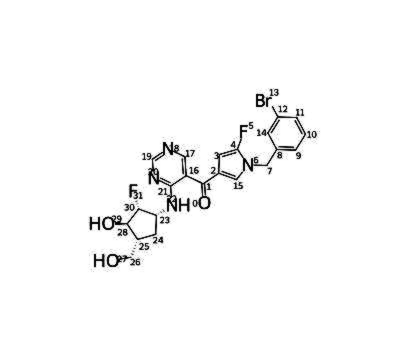 O=C(c1cc(F)n(Cc2cccc(Br)c2)c1)c1cncnc1N[C@@H]1C[C@H](CO)[C@@H](O)[C@@H]1F